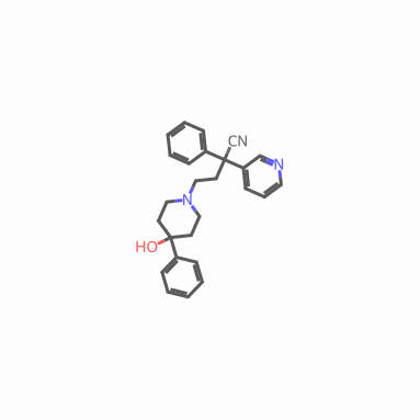 N#CC(CCN1CCC(O)(c2ccccc2)CC1)(c1ccccc1)c1cccnc1